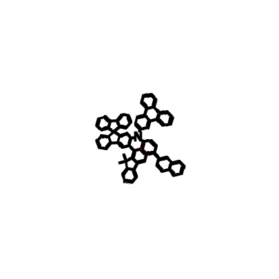 CC1(C)c2ccccc2-c2cccc(-c3cc4c(cc3N(c3ccc(-c5ccc6ccccc6c5)cc3)c3ccc5c6ccccc6c6ccccc6c5c3)C3(c5ccccc5-c5ccccc53)c3ccccc3-4)c21